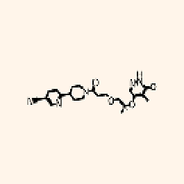 Cc1c(O[C@@H](C)COCCC(=O)N2CCC(c3ccc(C#N)cn3)CC2)cn[nH]c1=O